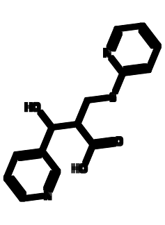 O=C(O)C(CSc1ccccn1)C(O)c1cccnc1